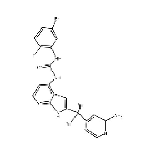 [2H]C([2H])(c1ccnc(N)c1)c1cc2c(NC(=O)Nc3cc(Br)ccc3F)cccc2[nH]1